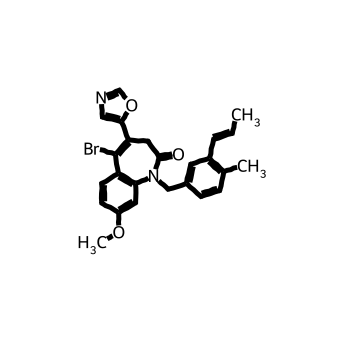 C/C=C/c1cc(CN2C(=O)CC(c3cnco3)=C(Br)c3ccc(OC)cc32)ccc1C